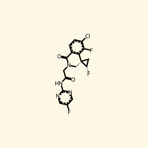 O=C(CN1C[C@@]2(C[C@@H]2F)c2c(ccc(Cl)c2F)C1=O)Nc1ncc(F)cn1